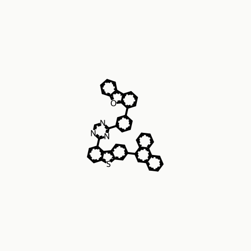 c1cc(-c2ncnc(-c3cccc4sc5cc(-c6cc7ccccc7c7ccccc67)ccc5c34)n2)cc(-c2cccc3c2oc2ccccc23)c1